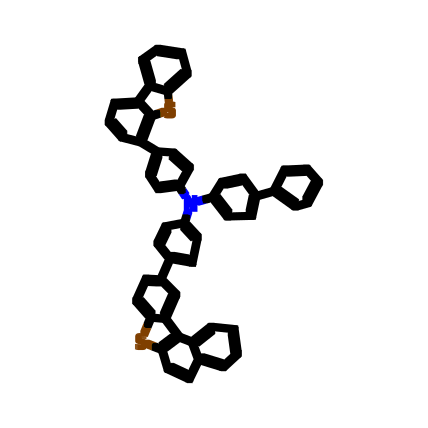 c1ccc(-c2ccc(N(c3ccc(-c4ccc5sc6ccc7ccccc7c6c5c4)cc3)c3ccc(-c4cccc5c4sc4ccccc45)cc3)cc2)cc1